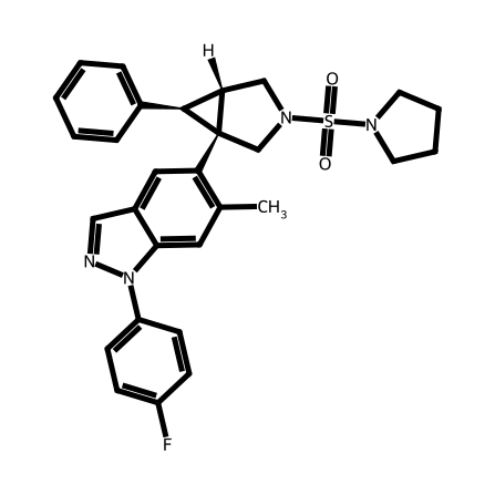 Cc1cc2c(cnn2-c2ccc(F)cc2)cc1[C@]12CN(S(=O)(=O)N3CCCC3)C[C@H]1[C@@H]2c1ccccc1